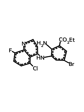 CCOC(=O)c1cc(Br)cc(Nc2ccnc3c(F)ccc(Cl)c23)c1N